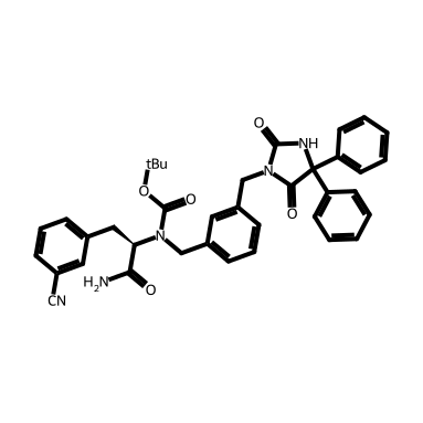 CC(C)(C)OC(=O)N(Cc1cccc(CN2C(=O)NC(c3ccccc3)(c3ccccc3)C2=O)c1)[C@H](Cc1cccc(C#N)c1)C(N)=O